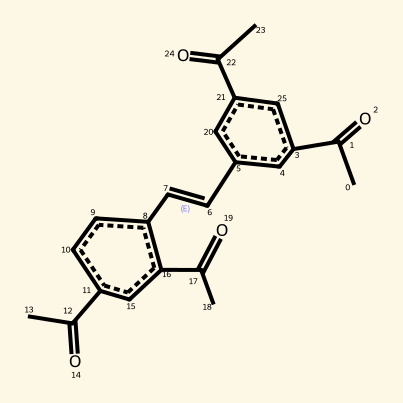 CC(=O)c1cc(/C=C/c2ccc(C(C)=O)cc2C(C)=O)cc(C(C)=O)c1